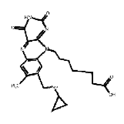 Cc1cc2nc3c(=O)[nH]c(=O)nc-3n(CCCCCCC(=O)O)c2cc1CNC1CC1